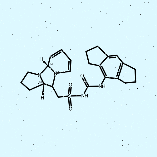 O=C(Nc1c2c(cc3c1CCC3)CCC2)NS(=O)(=O)CC1[C@@H]2CCCN2[C@@H]2C=CC=CN12